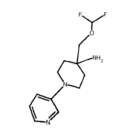 NC1(COC(F)F)CCN(c2cccnc2)CC1